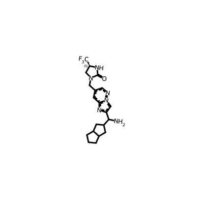 NC(c1cn2ncc(CN3C[C@@H](C(F)(F)F)NC3=O)cc2n1)C1CC2CCCC2C1